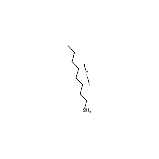 CCCCCCCC[SiH3].I[IH]I